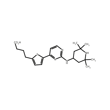 CC1(C)CC(Nc2nccc(-c3ccc(CCCC(=O)O)s3)n2)CC(C)(C)N1